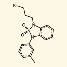 Cc1cccc(N2c3ccccc3N(CCCBr)S2(=O)=O)c1